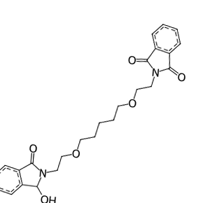 O=C1c2ccccc2C(=O)N1CCOCCCCCOCCN1C(=O)c2ccccc2C1O